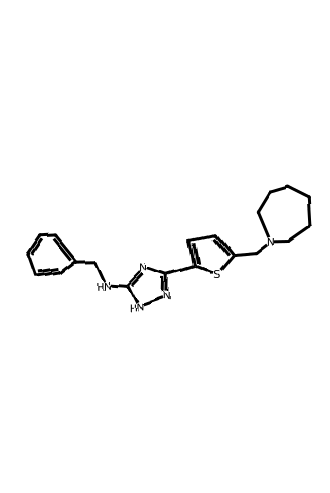 c1ccc(CNc2nc(-c3ccc(CN4CCCCCC4)s3)n[nH]2)cc1